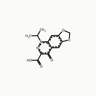 CC(C)n1nc(C(=O)O)c(=O)c2cc3c(cc21)OCO3